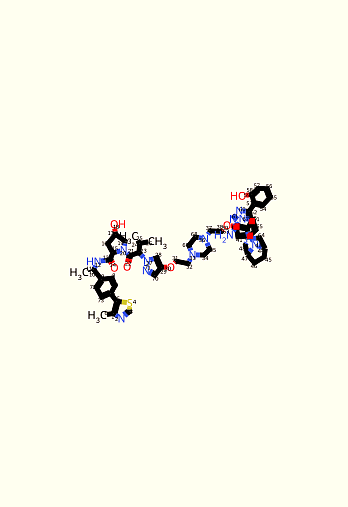 Cc1ncsc1-c1ccc([C@H](C)NC(=O)C2CC(O)CN2C(=O)C(C(C)C)n2cc(OCCN3CCN(CCOc4cc(N5C6CCC5CN(c5cc(-c7ccccc7O)nnc5N)C6)ccn4)CC3)cn2)cc1